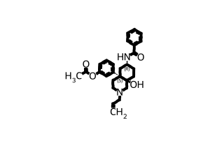 C=CCN1CC[C@@]2(c3cccc(OC(C)=O)c3)C[C@H](NC(=O)c3ccccc3)CC[C@]2(O)C1